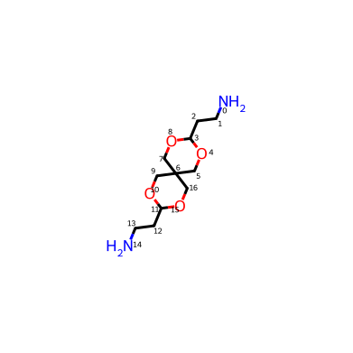 NCCC1OCC2(CO1)COC(CCN)OC2